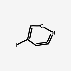 IC1=CON=C=C1